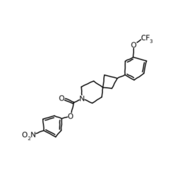 O=C(Oc1ccc([N+](=O)[O-])cc1)N1CCC2(CC1)CC(c1cccc(OC(F)(F)F)c1)C2